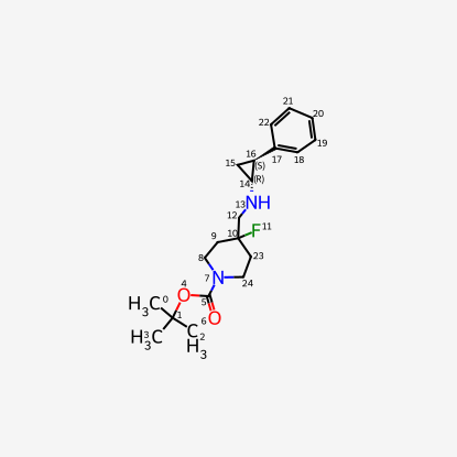 CC(C)(C)OC(=O)N1CCC(F)(CN[C@@H]2C[C@H]2c2ccccc2)CC1